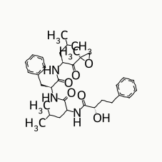 CC(C)CC(NC(=O)[C@@H](O)CCc1ccccc1)C(=O)N[C@@H](Cc1ccccc1)C(=O)N[C@@H](CC(C)C)C(=O)[C@@]1(C)CO1